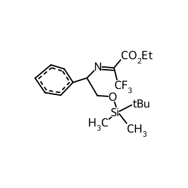 CCOC(=O)C(=NC(CO[Si](C)(C)C(C)(C)C)c1ccccc1)C(F)(F)F